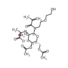 C=C(C)C(=O)N(CCOCCO)[C@H]1O[C@H](COC(C)=O)[C@@H](OC(C)=O)[C@H](OC(C)=O)[C@H]1NC(C)=O